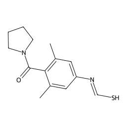 Cc1cc(N=CS)cc(C)c1C(=O)N1CCCC1